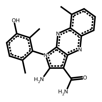 Cc1ccc(O)c(C)c1-n1c(N)c(C(N)=O)c2nc3cccc(C)c3nc21